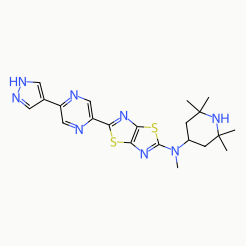 CN(c1nc2sc(-c3cnc(-c4cn[nH]c4)cn3)nc2s1)C1CC(C)(C)NC(C)(C)C1